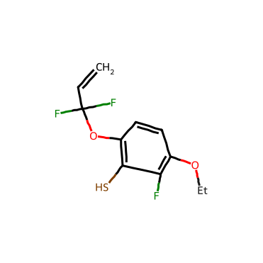 C=CC(F)(F)Oc1ccc(OCC)c(F)c1S